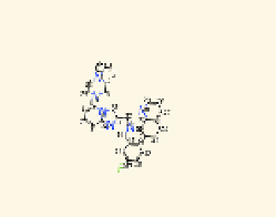 CN1CCN(C2=CC=CC3=NC(CN(Cc4cccc(F)c4)[C@H]4CCCc5cccnc54)CN23)CC1